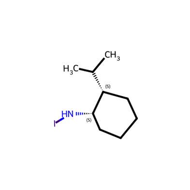 CC(C)[C@@H]1CCCC[C@@H]1NI